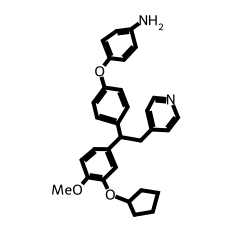 COc1ccc(C(Cc2ccncc2)c2ccc(Oc3ccc(N)cc3)cc2)cc1OC1CCCC1